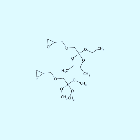 CCO[Si](COCC1CO1)(OCC)OCC.CO[Si](COCC1CO1)(OC)OC